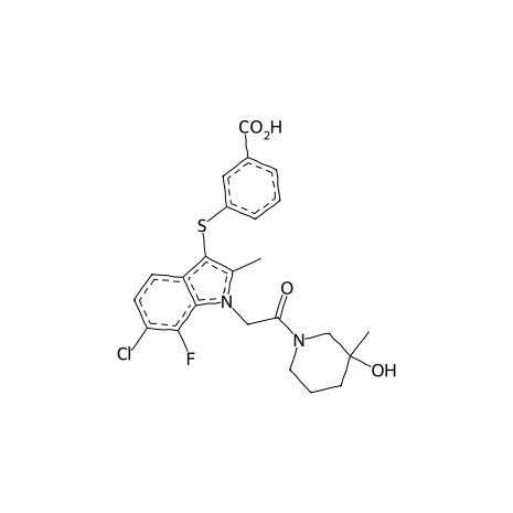 Cc1c(Sc2cccc(C(=O)O)c2)c2ccc(Cl)c(F)c2n1CC(=O)N1CCCC(C)(O)C1